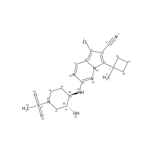 CC1(c2c(C#N)c(Cl)c3cnc(N[C@@H]4CCN(S(C)(=O)=O)C[C@H]4O)nn23)CCC1